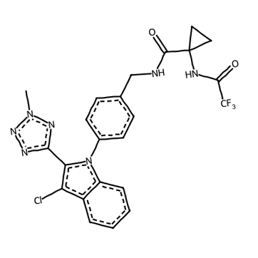 Cn1nnc(-c2c(Cl)c3ccccc3n2-c2ccc(CNC(=O)C3(NC(=O)C(F)(F)F)CC3)cc2)n1